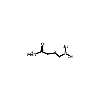 CCN(CC)CCCC(=O)NC